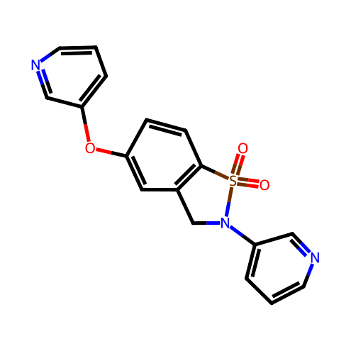 O=S1(=O)c2ccc(Oc3cccnc3)cc2CN1c1cccnc1